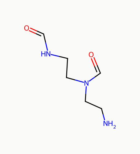 NCCN(C=O)CCNC=O